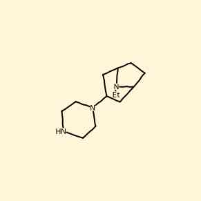 CCN1C2CCC1CC(N1CCNCC1)C2